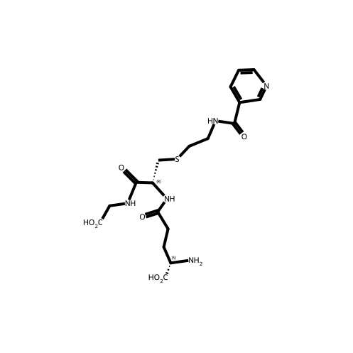 N[C@@H](CCC(=O)N[C@@H](CSCCNC(=O)c1cccnc1)C(=O)NCC(=O)O)C(=O)O